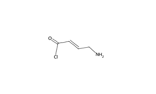 NCC=CC(=O)Cl